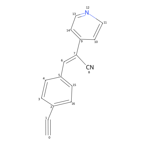 C#Cc1ccc(/C=C(\C#N)c2ccncc2)cc1